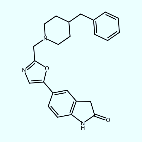 O=C1Cc2cc(-c3cnc(CN4CCC(Cc5ccccc5)CC4)o3)ccc2N1